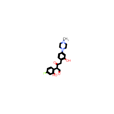 CN1CCN(c2ccc(CC(=O)C(C=O)c3ccc(F)cc3O)c(O)c2)CC1